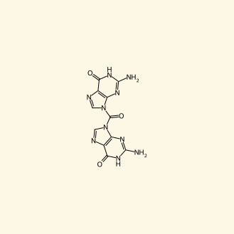 Nc1nc2c(ncn2C(=O)n2cnc3c(=O)[nH]c(N)nc32)c(=O)[nH]1